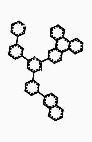 c1cncc(-c2cccc(-c3cc(-c4cccc(-c5ccc6ccccc6c5)c4)nc(-c4ccc5c6ccccc6c6ccccc6c5c4)n3)c2)c1